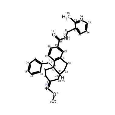 CCO/N=C1/CC[C@@]2(Cc3ccccc3)c3ccc(C(=O)NCc4cccnc4C)cc3CC[C@@H]2C1